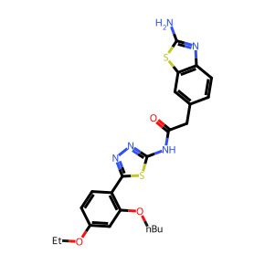 CCCCOc1cc(OCC)ccc1-c1nnc(NC(=O)Cc2ccc3nc(N)sc3c2)s1